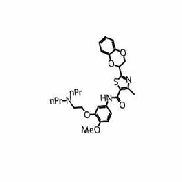 CCCN(CCC)CCOc1cc(NC(=O)c2sc(C3COc4ccccc4O3)nc2C)ccc1OC